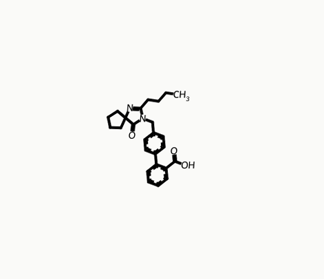 CCCCC1=NC2(CCCC2)C(=O)N1Cc1ccc(-c2ccccc2C(=O)O)cc1